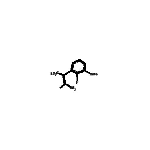 CCOC(=O)C(=C(C)N)c1cccc(OC)c1F